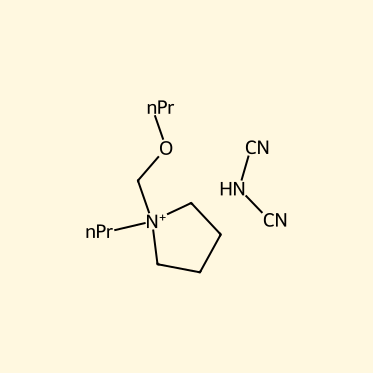 CCCOC[N+]1(CCC)CCCC1.N#CNC#N